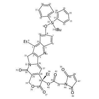 CCc1c2c(nc3ccc(O[Si](c4ccccc4)(c4ccccc4)C(C)(C)C)cc13)-c1cc3c(c(=O)n1C2)COC(=O)[C@@]3(CC)OC(=O)CN1C(=O)C=CC1=O